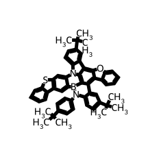 CC(C)(C)c1ccc(N2B3c4cc5c(cc4-n4c6ccc(C(C)(C)C)cc6c6c7oc8ccccc8c7c(c3c64)-c3cc(C(C)(C)C)ccc32)sc2ccccc25)cc1